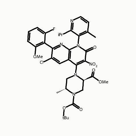 COC(=O)[C@H]1CN(C(=O)OC(C)(C)C)[C@H](C)CN1c1c([N+](=O)[O-])c(=O)n(-c2c(C)ccnc2C(C)C)c2nc(-c3c(F)cccc3OC)c(Cl)cc12